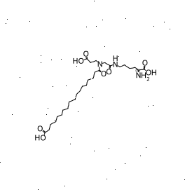 N[C@@H](CCCCNC(=O)CN(CCC(=O)O)C(=O)CCCCCCCCCCCCCCCCC(=O)O)C(=O)O